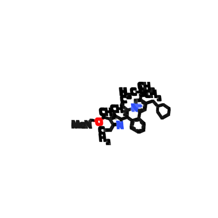 C=CC1=NC(C2c3ccccc3-c3cc(CC4CCCCC4)c([Si](C)(C)C)c[n+]3C2C=C)C(C)=C1C(=C)OCNC